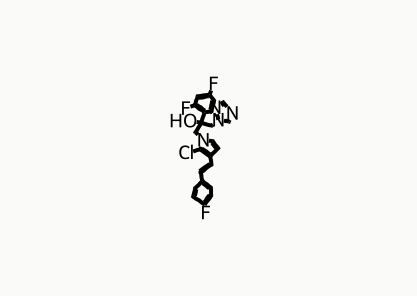 OC(Cn1cncn1)(Cn1ccc(/C=C/c2ccc(F)cc2)c1Cl)c1ccc(F)cc1F